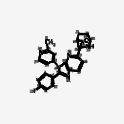 Cc1cc(-n2c(-c3ccc(F)cc3)nc3ccc(N4CC5CCC4CN5)nc32)ccn1